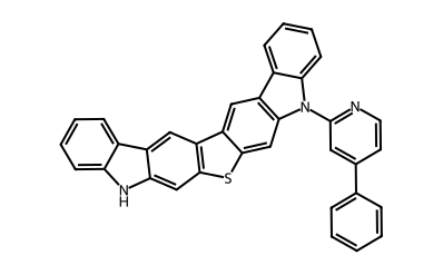 c1ccc(-c2ccnc(-n3c4ccccc4c4cc5c(cc43)sc3cc4[nH]c6ccccc6c4cc35)c2)cc1